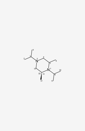 CC(C)N1CC(C)N(C(C)C)[C@@H](C)C1